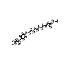 CC(C)(C)OC(=O)c1ccc(SCCCCCCCCCCC(=O)O)cc1